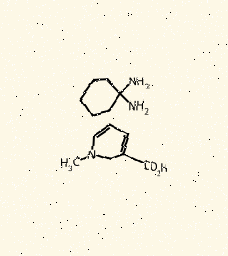 CN1C=CC=C(C(=O)O)C1.NC1(N)CCCCC1